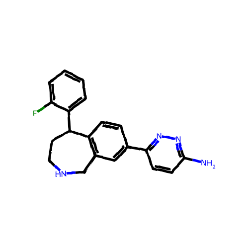 Nc1ccc(-c2ccc3c(c2)CNCCC3c2ccccc2F)nn1